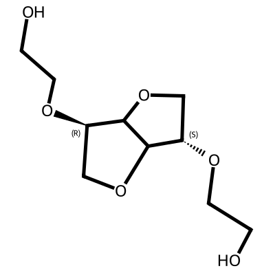 OCCO[C@H]1COC2C1OC[C@H]2OCCO